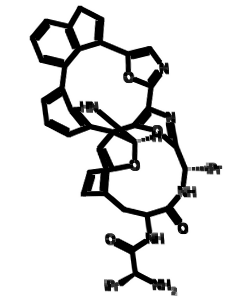 CC(C)[C@H](N)C(=O)NC1Cc2ccc3c(c2)C24c5cccc(c5N[C@H]2O3)-c2cccc3c2C(=CC3)c2cnc(o2)-c2nc(oc24)[C@H](C(C)C)NC1=O